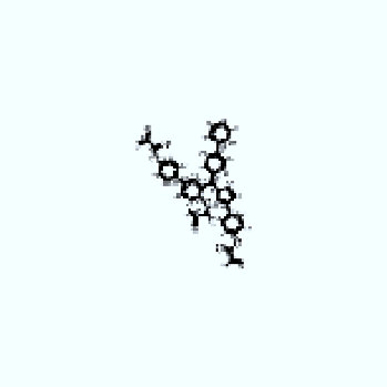 C=C(C)C(=O)Oc1ccc(C2=CC(C(c3ccc(-c4ccccc4)cc3)c3cc(-c4ccc(OC(=O)C(=C)C)cc4)ccc3OC(=O)C(=C)C)C=C2)cc1